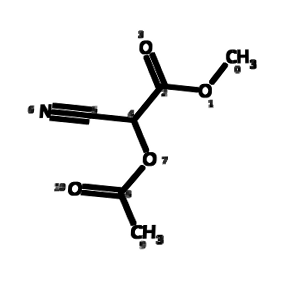 COC(=O)C(C#N)OC(C)=O